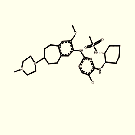 COc1cc2c(cc1Nc1ncc(Cl)c(N[C@@H]3CCCC[C@H]3NS(C)(=O)=O)n1)CCC(N1CCN(C)CC1)CC2